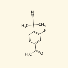 CC(=O)c1ccc(C(C)(C)C#N)c(F)c1